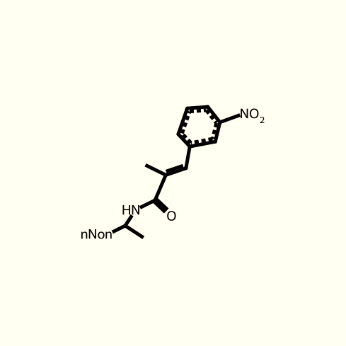 CCCCCCCCCC(C)NC(=O)/C(C)=C/c1cccc([N+](=O)[O-])c1